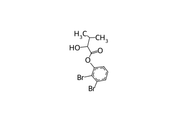 CC(C)C(O)C(=O)Oc1cccc(Br)c1Br